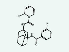 O=C(NC12CC3CC(C1)CC(NC(=O)N1C=CC=CC1Cl)(C3)C2)c1cccc(F)c1